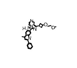 COCCOC1CC(C2=C3C=NC=C[N+]3(N)C(c3ccc4c(C)cc(-c5ccccc5)nc4c3)=N2)C1